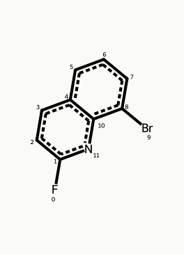 Fc1ccc2cccc(Br)c2n1